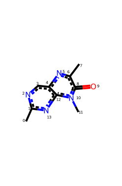 Cc1ncc2nc(C)c(=O)n(C)c2n1